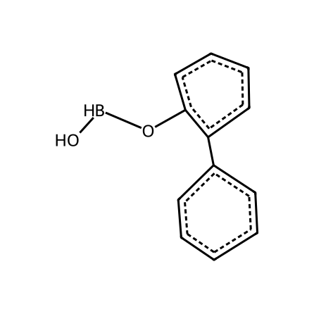 OBOc1ccccc1-c1ccccc1